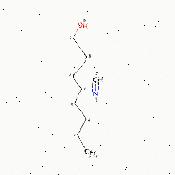 C#N.CCCCCCCCO